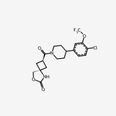 O=C1N[C@]2(CO1)C[C@H](C(=O)N1CCC(c3ccc(Cl)c(OC(F)(F)F)c3)CC1)C2